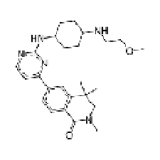 COCCNC1CCC(Nc2nccc(-c3ccc4c(c3)C(C)(C)CN(C)C4=O)n2)CC1